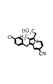 CCOC(=O)Cc1c(C)c(Cc2ccc(Cl)cc2)c2cc(C#N)ccn12